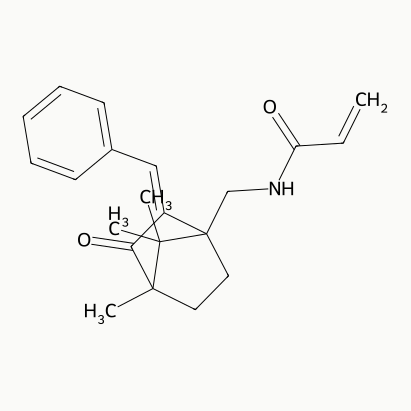 C=CC(=O)NCC12CCC(C)(C(=O)C1=Cc1ccccc1)C2(C)C